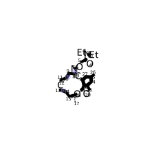 CCN(CC)C(=O)CO/N=C1/C=C/CC/C=C/C[C@@H](C)OC(=O)c2c(C)cc(C)cc2C1